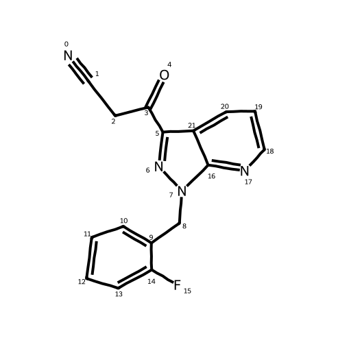 N#CCC(=O)c1nn(Cc2ccccc2F)c2ncccc12